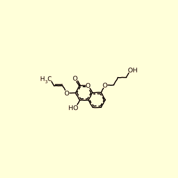 CC=COc1c(O)c2cccc(OCCCO)c2oc1=O